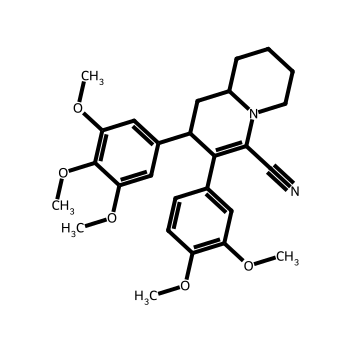 COc1ccc(C2=C(C#N)N3CCCCC3CC2c2cc(OC)c(OC)c(OC)c2)cc1OC